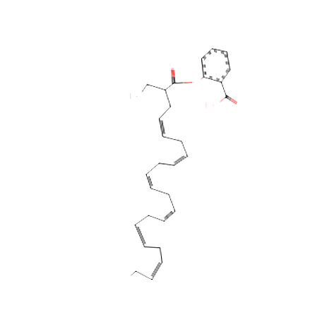 CC/C=C\C/C=C\C/C=C\C/C=C\C/C=C\C/C=C\CC(CC)C(=O)Oc1ccccc1C(=O)O